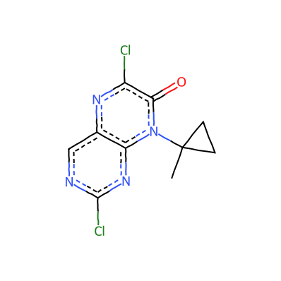 CC1(n2c(=O)c(Cl)nc3cnc(Cl)nc32)CC1